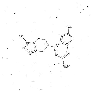 CCCc1cc2c(N3CCn4c(nnc4C(F)(F)F)C3)nc(OC)nc2s1